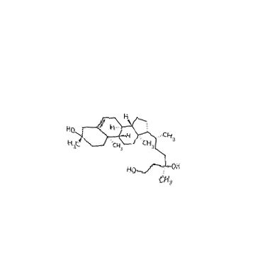 C[C@H](CC[C@@](C)(O)CCO)[C@H]1CC[C@H]2[C@@H]3CC=C4C[C@@](C)(O)CC[C@]4(C)[C@H]3CC[C@]12C